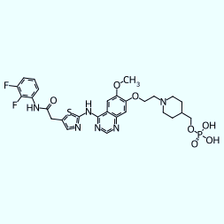 COc1cc2c(Nc3ncc(CC(=O)Nc4cccc(F)c4F)s3)ncnc2cc1OCCN1CCC(COP(=O)(O)O)CC1